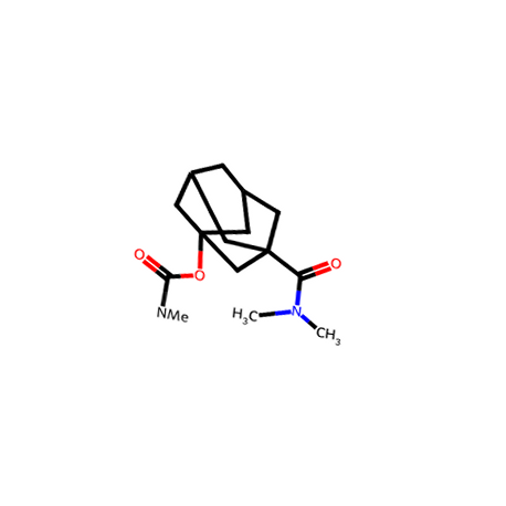 CNC(=O)OC12CC3CC(C1)CC(C(=O)N(C)C)(C3)C2